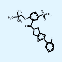 CC(C)(C)COc1ccc(S(C)(=O)=O)cc1C(=O)N1Cc2cn(-c3ccccc3F)nc2C1